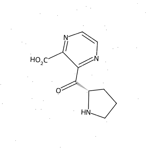 O=C(O)c1nccnc1C(=O)[C@@H]1CCCN1